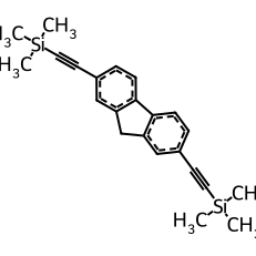 C[Si](C)(C)C#Cc1ccc2c(c1)Cc1cc(C#C[Si](C)(C)C)ccc1-2